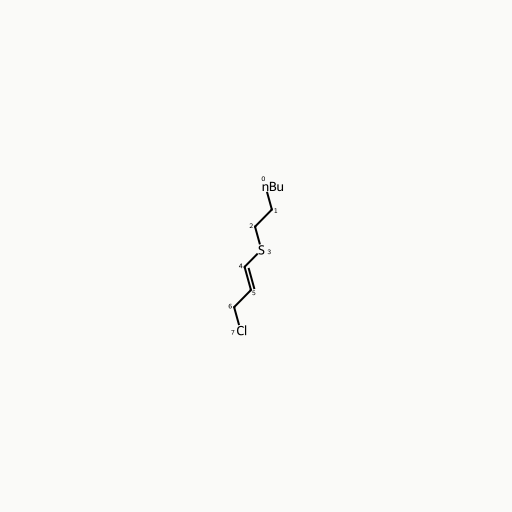 CCCCCCSC=CCCl